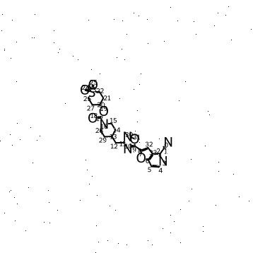 N#Cc1nccc2oc(-c3nc(CC4CCN(C(=O)OC5CCS(=O)(=O)CC5)CC4)no3)cc12